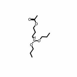 CCCO[SiH](CCCOC(C)=O)OCCC